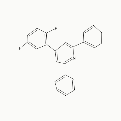 Fc1ccc(F)c(-c2cc(-c3ccccc3)nc(-c3ccccc3)c2)c1